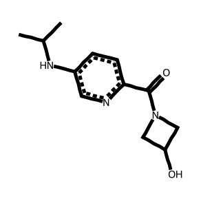 CC(C)Nc1ccc(C(=O)N2CC(O)C2)nc1